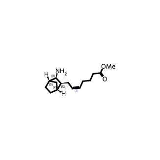 COC(=O)CCC/C=C\C[C@H]1[C@@H]2CC[C@@H](C2)[C@H]1N